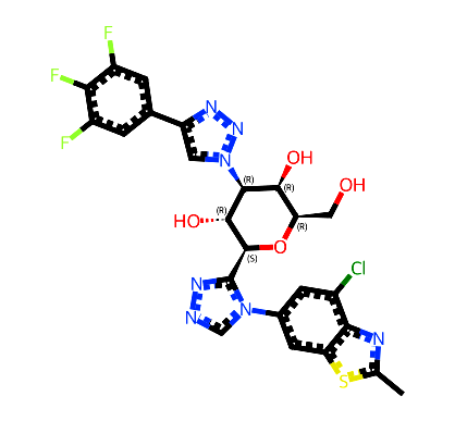 Cc1nc2c(Cl)cc(-n3cnnc3[C@@H]3O[C@H](CO)[C@H](O)[C@H](n4cc(-c5cc(F)c(F)c(F)c5)nn4)[C@H]3O)cc2s1